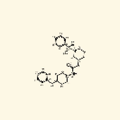 O=C(CC1CCCN(S(=O)(=O)c2ccccc2)C1)NN1CCC(Cc2ccccc2)CC1